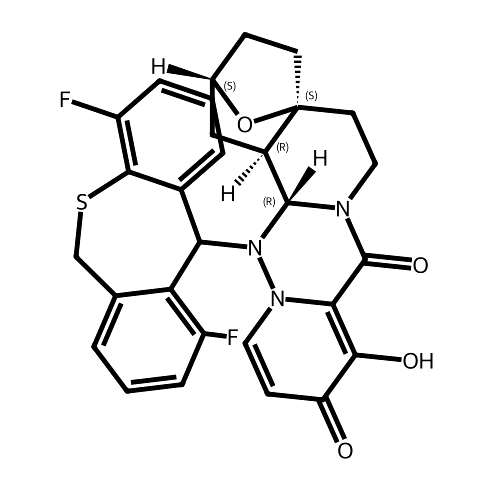 O=C1c2c(O)c(=O)ccn2N(C2c3cccc(F)c3SCc3cccc(F)c32)[C@@H]2[C@H]3C[C@@H]4CC[C@@]3(CCN12)O4